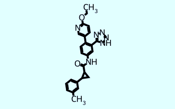 CCOc1ccc(-c2ccc(NC(=O)C3CC3c3cccc(C)c3)cc2-c2nnn[nH]2)cn1